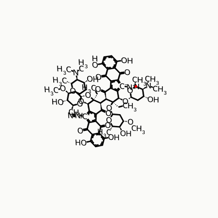 CC[C@@]1(O[C@H]2C[C@H](OC)[C@@H](O)[C@H](C)O2)[C@H](O[C@H]2C[C@@H](O)[C@H](N(C)C)[C@@H](C)O2)c2c(c3c([c-]2[N+]#N)C(=O)c2c(O)ccc(O)c2C3=O)C(=O)[C@@H]1[C@H]1C(=O)c2c3c([c-]([N+]#N)c2[C@@H](O[C@H]2C[C@@H](O)[C@H](N(C)C)[C@@H](C)O2)[C@@]1(CC)O[C@H]1C[C@H](OC)[C@@H](O)[C@H](C)O1)C(=O)c1c(O)ccc(O)c1C3=O